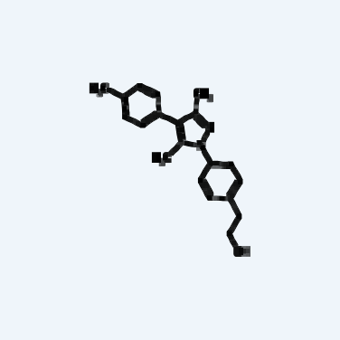 Cc1ccc(-c2c(C)nn(-c3ccc(CCO)cc3)c2C)cc1